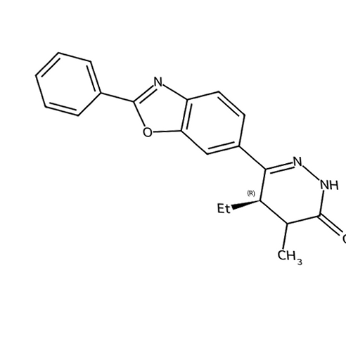 CC[C@H]1C(c2ccc3nc(-c4ccccc4)oc3c2)=NNC(=O)C1C